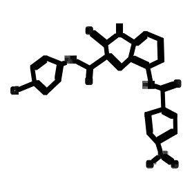 O=C(Nc1cccc2[nH]c(=O)c(C(=O)Nc3ccc(Cl)cc3)cc12)c1ccc([N+](=O)[O-])cc1